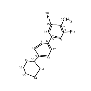 Cc1c(F)cc(-c2ccc(C3CCCCC3)cc2)cc1F